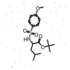 COc1ccc(S(=O)(=O)NC(CC(C)C)C(=O)OC(C)(C)C)cc1